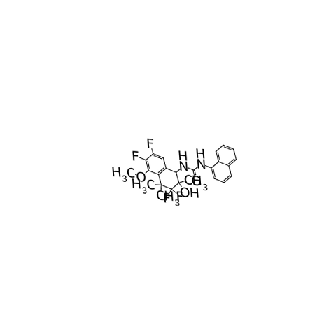 COc1c(F)c(F)cc2c1C(C)(C)C(F)(F)C(C)(O)C2NC(=O)Nc1cccc2ccccc12